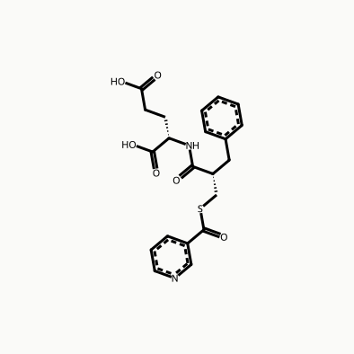 O=C(O)CC[C@H](NC(=O)[C@@H](CSC(=O)c1cccnc1)Cc1ccccc1)C(=O)O